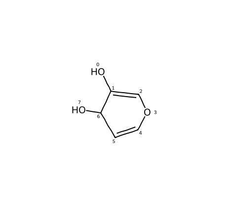 OC1=COC=CC1O